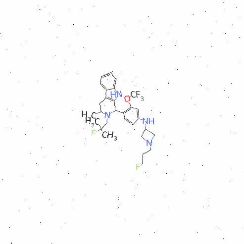 CC1Cc2c([nH]c3ccccc23)C(c2ccc(NC3CN(CCCF)C3)cc2OC(F)(F)F)N1CC(C)(C)F